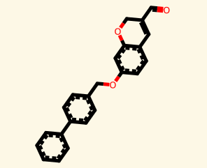 O=CC1=Cc2ccc(OCc3ccc(-c4ccccc4)cc3)cc2OC1